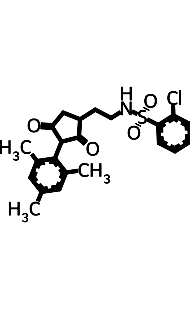 Cc1cc(C)c(C2C(=O)CC(CCNS(=O)(=O)c3ccccc3Cl)C2=O)c(C)c1